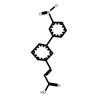 O=C(O)/C=C/c1cccc(-c2cccc([N+](=O)[O-])c2)c1